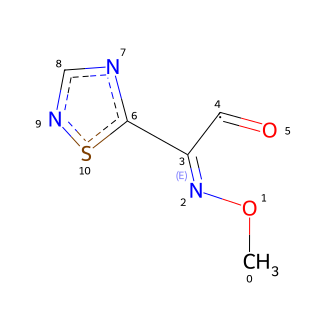 CO/N=C(\[C]=O)c1ncns1